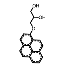 OCC(O)COc1ccc2ccc3cccc4ccc1c2c34